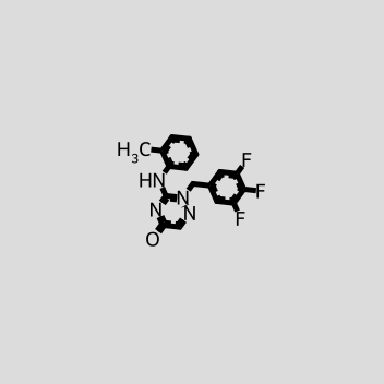 Cc1ccccc1Nc1nc(=O)cnn1Cc1cc(F)c(F)c(F)c1